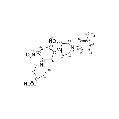 O=C(O)C1CCN(c2cc(N3CCN(c4cccc(C(F)(F)F)c4)CC3)c([N+](=O)[O-])cc2[N+](=O)[O-])CC1